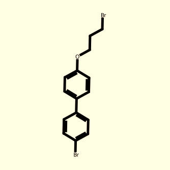 BrCCCOc1ccc(-c2ccc(Br)cc2)cc1